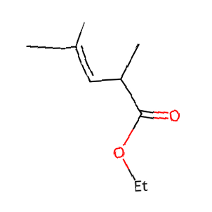 CCOC(=O)C(C)C=C(C)C